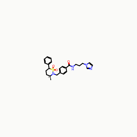 C[C@H]1CCC(c2ccccc2)S(=O)(=O)N1Cc1ccc(C(=O)NCCCn2ccnc2)cc1